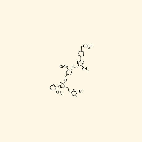 CCc1nc(C=Cc2cn(-c3ccccc3C)nc2OCc2ccc(OCc3nc(-c4ccc(CC(=O)O)cc4)oc3C)c(OC)c2)cs1